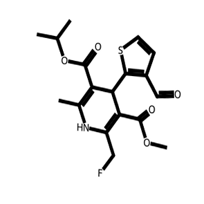 COC(=O)C1=C(CF)NC(C)=C(C(=O)OC(C)C)C1c1sccc1C=O